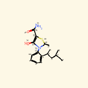 CC(C)CC(C)c1ccccc1N1C(O)=C(C(N)=O)SC1C